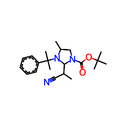 CC(C#N)C1N(C(=O)OC(C)(C)C)CC(C)N1C(C)(C)c1ccccc1